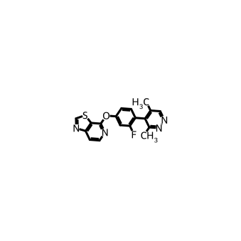 Cc1cnnc(C)c1-c1ccc(Oc2nccc3ncsc23)cc1F